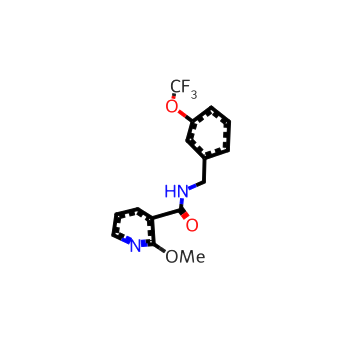 COc1ncccc1C(=O)NCc1cccc(OC(F)(F)F)c1